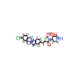 O=C1S/C(=C\c2ccc3c(cnn3Cc3ccc(Cl)cc3C(F)(F)F)c2)C(=O)N1C1CCNCC1O